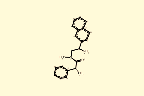 C[C@@H](C(=O)N(C)CC(N)c1ccc2ccccc2c1)c1ccccc1